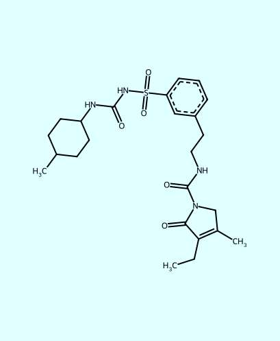 CCC1=C(C)CN(C(=O)NCCc2cccc(S(=O)(=O)NC(=O)NC3CCC(C)CC3)c2)C1=O